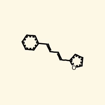 C(/C=C/c1ccco1)=C\c1ccccc1